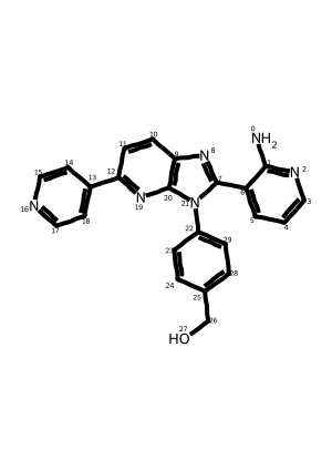 Nc1ncccc1-c1nc2ccc(-c3ccncc3)nc2n1-c1ccc(CO)cc1